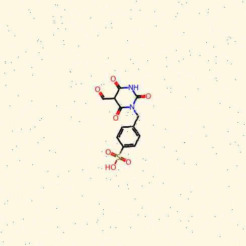 O=CC1C(=O)NC(=O)N(Cc2ccc(S(=O)(=O)O)cc2)C1=O